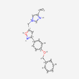 O=[N+]([O-])c1cn(Cc2cc(-c3ccc(OCc4ccccc4)cc3)no2)cn1